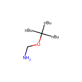 CCCCC(CCCC)(CCCC)OCN